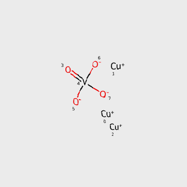 [Cu+].[Cu+].[Cu+].[O]=[V]([O-])([O-])[O-]